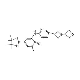 Cn1cc(B2OC(C)(C)C(C)(C)O2)cc(Nc2ccc(C3CN(C4COC4)C3)cn2)c1=O